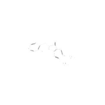 COc1cc2c(cc1OC)C(=O)C(Cc1ccncc1C(C)=O)C2